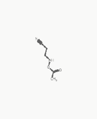 CC(=O)ONCCC#N